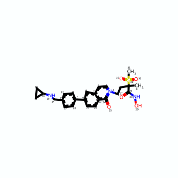 CC(CCn1ccc2cc(-c3ccc(CNC4CC4)cc3)ccc2c1=O)(C(=O)NO)S(C)(=O)=O